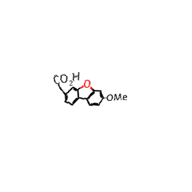 COc1ccc2c(c1)oc1cc(CC(=O)O)ccc12